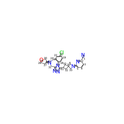 N#Cc1cccc(N2CC3(CC(c4nnc5n4-c4ccc(Cl)cc4CN([C@H]4CCOC4)C5)C3)C2)n1